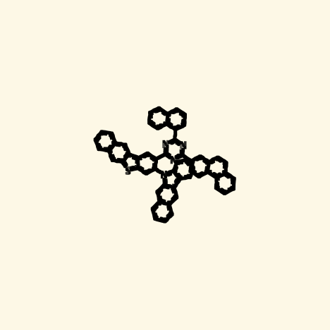 c1ccc2cc3c(cc2c1)sc1cc(-n2c4ccccc4c4cc5ccccc5cc42)c(-c2nc(-c4ccc5c(ccc6ccccc65)c4)nc(-c4cccc5ccccc45)n2)cc13